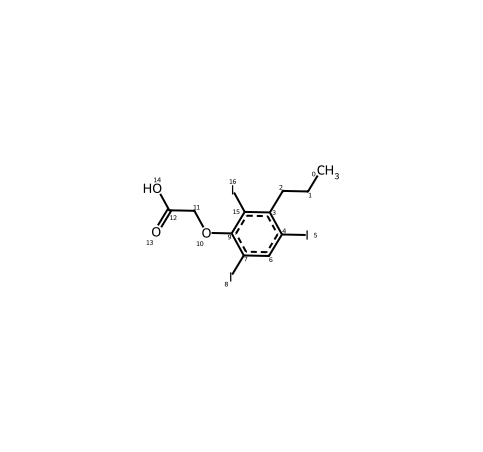 CCCc1c(I)cc(I)c(OCC(=O)O)c1I